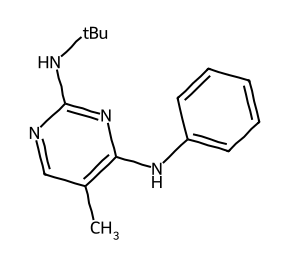 Cc1cnc(NC(C)(C)C)nc1Nc1ccccc1